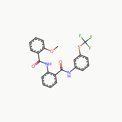 COc1ccccc1C(=O)Nc1ccccc1C(=O)Nc1cccc(SC(F)(F)F)c1